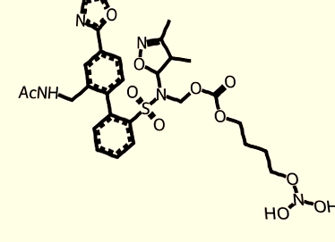 CC(=O)NCc1cc(-c2ncco2)ccc1-c1ccccc1S(=O)(=O)N(COC(=O)OCCCCON(O)O)C1ON=C(C)C1C